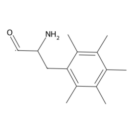 Cc1c(C)c(C)c(CC(N)[C]=O)c(C)c1C